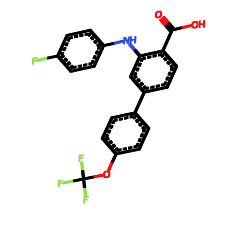 O=C(O)c1ccc(-c2ccc(OC(F)(F)F)cc2)cc1Nc1ccc(F)cc1